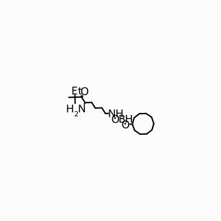 CCC(C)(C)C(=O)C(N)CCCCNOBOC1CCCCCCCCC1